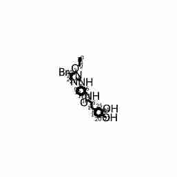 C#CCOc1nc(Nc2cccc(NC(=O)CCc3ccc(O)c(O)c3)c2)ncc1Br